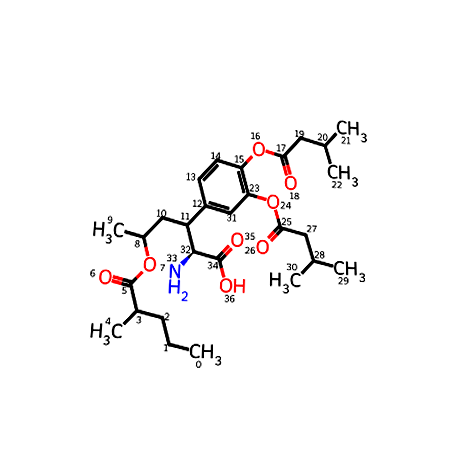 CCCC(C)C(=O)OC(C)CC(c1ccc(OC(=O)CC(C)C)c(OC(=O)CC(C)C)c1)[C@H](N)C(=O)O